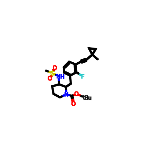 CC1(C#Cc2cccc(CC3C(NS(C)(=O)=O)CCCN3C(=O)OC(C)(C)C)c2F)CC1